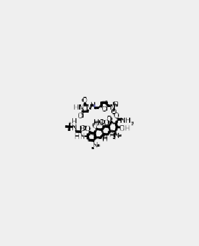 CN(C)c1cc(NC(=O)CNC(C)(C)C)c(O)c2c1C[C@H]1C[C@H]3[C@H](N(C)C)C(O)=C(C(N)=O)C(=O)[C@@]3(O)C(O)=C1C2=O.O=C1CN(/N=C/c2ccc([N+](=O)[O-])o2)C(=O)N1